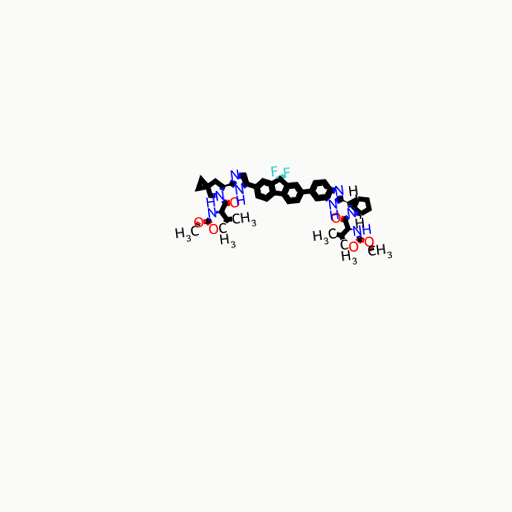 COC(=O)N[C@@H](C(=O)N1CC2(CC2)C[C@H]1c1ncc(-c2ccc3c(c2)C(F)(F)c2cc(-c4ccc5nc([C@@H]6[C@H]7CC[C@H](C7)N6C(=O)[C@H](NC(=O)OC)C(C)C)[nH]c5c4)ccc2-3)[nH]1)C(C)C